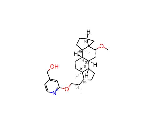 COC1C[C@H]2[C@@H]3CC[C@H]([C@H](C)COc4cc(CO)ccn4)[C@@]3(C)CC[C@@H]2[C@@]2(C)CC[C@@H]3CC132